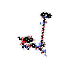 CCCC1O[C@@H]2C[C@H]3[C@@H]4C[C@H](F)C5=CC(=O)C=C[C@]5(C)[C@@]4(F)[C@@H](O)C[C@]3(C)[C@]2(C(=O)COC(=O)N(CC)CCN(CC)C(=O)OCc2ccc(NC(=O)[C@H](CCCNC(N)=O)NC(=O)[C@@H](NC(=O)CCOCCOCCOCCOCCNC(=O)CCC(=O)N3Cc4ccccc4C#Cc4ccccc43)C(C)C)cc2)O1